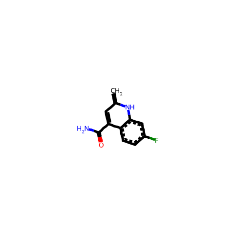 C=C1C=C(C(N)=O)c2ccc(F)cc2N1